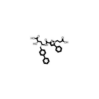 O=C(O)CCn1nc(C(=O)N[C@H](Cc2ccc(-c3ccccc3)cc2)C[C@@H](O)C(=O)O)cc1-c1ccccc1